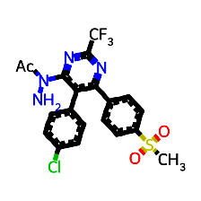 CC(=O)N(N)c1nc(C(F)(F)F)nc(-c2ccc(S(C)(=O)=O)cc2)c1-c1ccc(Cl)cc1